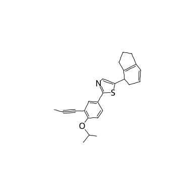 CC#Cc1cc(-c2ncc(C3CC=CC4=C3CCC4)s2)ccc1OC(C)C